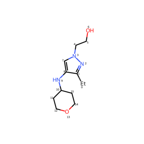 CCc1nn(CCO)cc1NC1CCOCC1